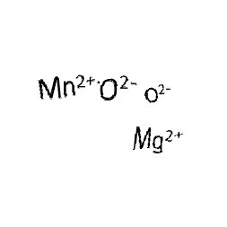 [Mg+2].[Mn+2].[O-2].[O-2]